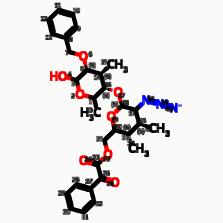 CC1OC(O)[C@@H](OCc2ccccc2)[C@@H](C)[C@@H]1O[C@@H]1OC(COC(=O)C(=O)c2ccccc2)[C@@H](C)[C@H](C)C1N=[N+]=[N-]